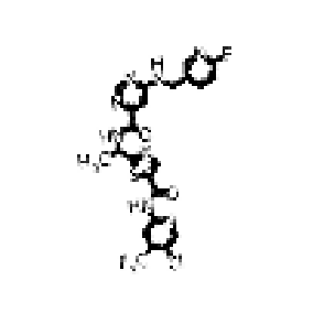 CC(NC(=O)c1cc(NCc2ccc(F)nc2)ncn1)c1ncc(C(=O)Nc2cc(C(F)(F)F)c(Cl)cn2)s1